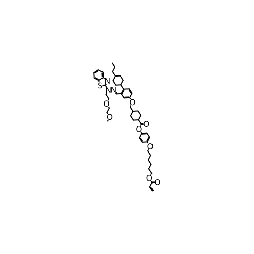 C=CC(=O)OCCCCCCOc1ccc(OC(=O)C2CCC(COc3ccc(C4CCC(CCC)CC4)c(/C=N/N(CCOCCOC)c4nc5ccccc5s4)c3)CC2)cc1